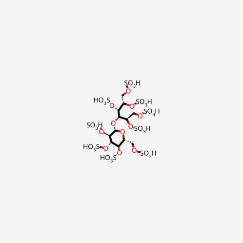 O=S(=O)(O)OC[C@H](OS(=O)(=O)O)[C@@H](OS(=O)(=O)O)[C@H](O[C@@H]1O[C@H](COS(=O)(=O)O)[C@@H](OS(=O)(=O)O)[C@H](OS(=O)(=O)O)[C@H]1OS(=O)(=O)O)[C@@H](COS(=O)(=O)O)OS(=O)(=O)O